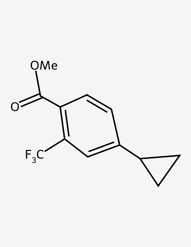 COC(=O)c1ccc(C2CC2)cc1C(F)(F)F